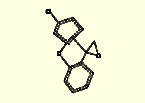 Clc1ccc2c(c1)Oc1ccccc1C21CO1